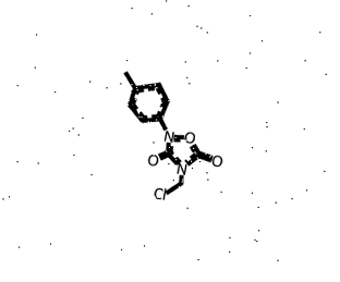 Cc1ccc(-n2oc(=O)n(CCl)c2=O)cc1